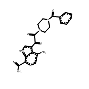 Cc1cnc(C(N)=O)c2[nH]cc(C(=O)C(=O)N3CCN(C(=O)c4ccccc4)CC3)c12